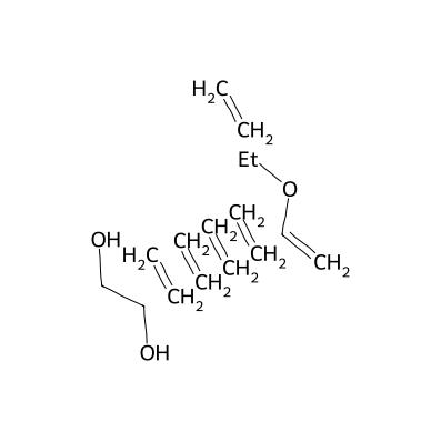 C=C.C=C.C=C.C=C.C=C.C=COCC.OCCO